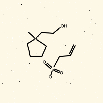 C=CCS(=O)(=O)[O-].C[N+]1(CCO)CCCC1